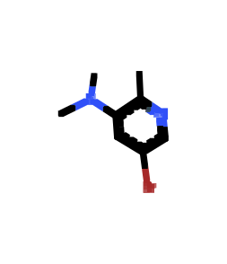 Cc1ncc(Br)cc1N(C)C